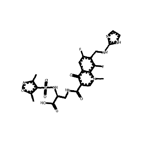 Cc1noc(C)c1S(=O)(=O)NC(CNC(=O)c1cn(C)c2c(F)c(CNc3ncc[nH]3)c(F)cc2c1=O)C(=O)O